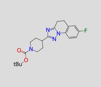 CC(C)(C)OC(=O)N1CCC(c2nc3n(n2)-c2ccc(F)cc2CC3)CC1